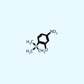 C[Si](C)(C)c1ccc([N+](=O)[O-])cc1Cl